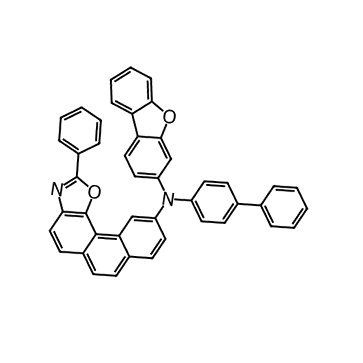 c1ccc(-c2ccc(N(c3ccc4c(c3)oc3ccccc34)c3ccc4ccc5ccc6nc(-c7ccccc7)oc6c5c4c3)cc2)cc1